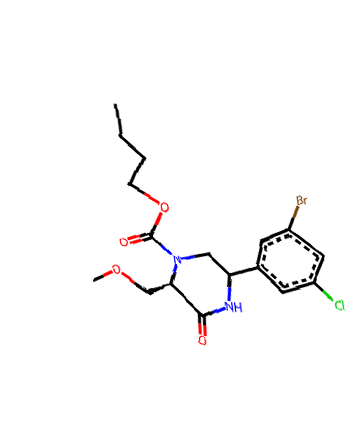 CCCCOC(=O)N1CC(c2cc(Cl)cc(Br)c2)NC(=O)[C@H]1COC